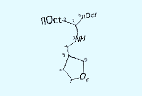 CCCCCCCCC(CCCCCCCC)NCC1CCOC1